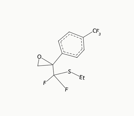 CCSC(F)(F)C1(c2ccc(C(F)(F)F)cc2)CO1